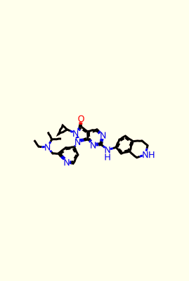 CCN(Cc1cc(-n2c3nc(Nc4ccc5c(c4)CNCC5)ncc3c(=O)n2C2CC2)ccn1)C(C)C